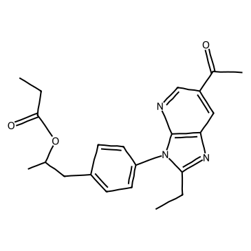 CCC(=O)OC(C)Cc1ccc(-n2c(CC)nc3cc(C(C)=O)cnc32)cc1